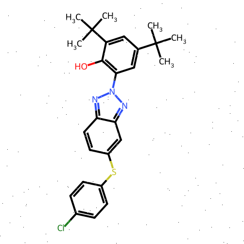 CC(C)(C)c1cc(-n2nc3ccc(Sc4ccc(Cl)cc4)cc3n2)c(O)c(C(C)(C)C)c1